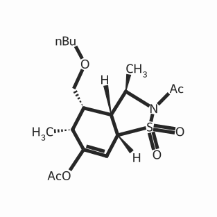 CCCCOC[C@@H]1[C@@H]2[C@@H](C)N(C(C)=O)S(=O)(=O)[C@@H]2C=C(OC(C)=O)[C@@H]1C